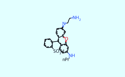 CCCNc1ccc2c(-c3ccccc3S(=O)(=O)O)c3cc/c(=N/CCN)cc-3oc2c1